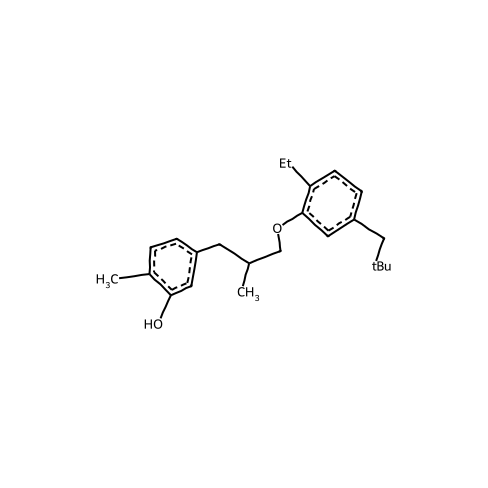 CCc1ccc(CC(C)(C)C)cc1OCC(C)Cc1ccc(C)c(O)c1